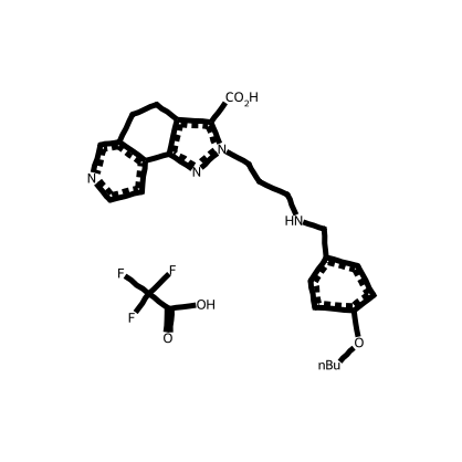 CCCCOc1ccc(CNCCCn2nc3c(c2C(=O)O)CCc2cnccc2-3)cc1.O=C(O)C(F)(F)F